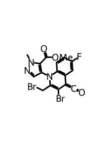 COC(=O)c1c(N2C(CBr)=C(Br)C(=C=O)c3cc(F)ccc32)cnn1C